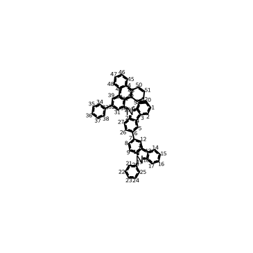 c1ccc2c3cc(-c4ccc5c(c4)c4ccccc4n5-c4ccccc4)ccc3n(-c3cc(-c4ccccc4)cc4c3c3c(c5ccccc54)C=CCC3)c2c#1